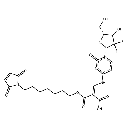 O=C(O)/C(=C\Nc1ccn([C@@H]2O[C@H](CO)C(O)C2(F)F)c(=O)n1)C(=O)OCCCCCCCN1C(=O)C=CC1=O